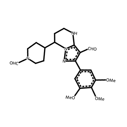 COc1cc(-c2nn3c(c2C=O)NCCC3C2CCN(C=O)CC2)cc(OC)c1OC